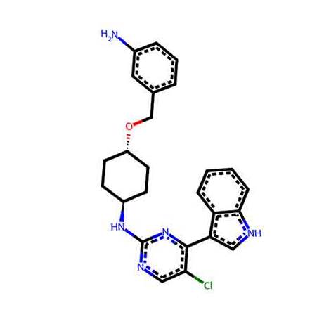 Nc1cccc(CO[C@H]2CC[C@H](Nc3ncc(Cl)c(-c4c[nH]c5ccccc45)n3)CC2)c1